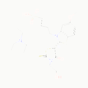 CCN(CC)CC.COc1ccc2c(c1)N(CCCCS(=O)(=O)O)/C(=C1\SC(=S)N(CCO)C1=O)S2